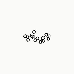 C1=CC2C(=CC=CC2c2cccc3oc4cc(-c5cccc6oc7ccccc7c56)ccc4c23)C(c2nc(-c3ccccc3)nc(-c3cc4ccccc4c4c3CCC=C4)n2)=C1